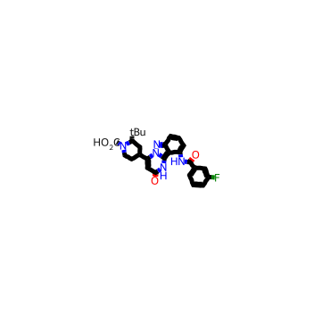 CC(C)(C)C1CC(c2cc(=O)[nH]c3c4c(NC(=O)c5cccc(F)c5)cccc4nn23)CCN1C(=O)O